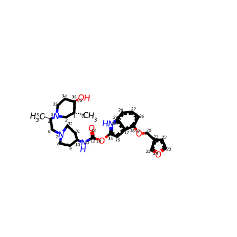 C[C@@H]1CN([C@@H](C)CN2CCC(NC(=O)Oc3cc4c(OCc5ccoc5)cccc4[nH]3)CC2)CC[C@H]1O